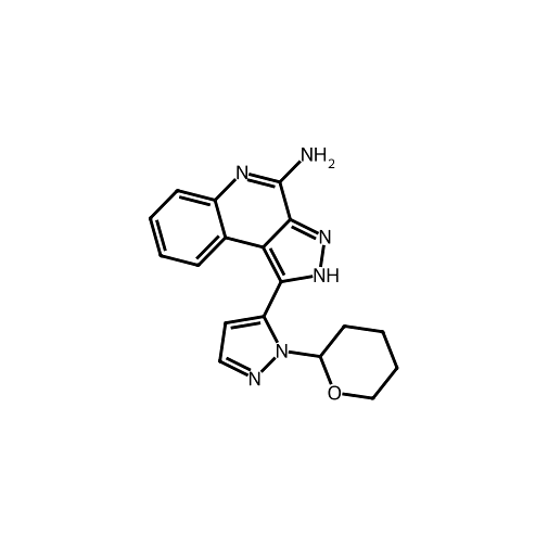 Nc1nc2ccccc2c2c(-c3ccnn3C3CCCCO3)[nH]nc12